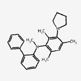 Cc1cc(C)c(N(C)c2ccccc2-c2ccccc2)c(C)c1N1CCCC1